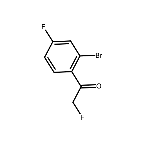 O=C(CF)c1ccc(F)cc1Br